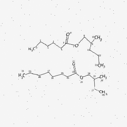 CCCCCC(=O)OCC(C)CCC.CCCCCCCC(=O)OCC(C)CC